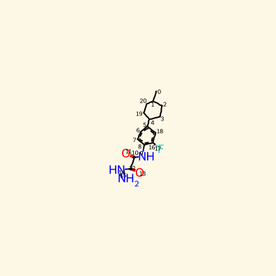 CC1CCC(c2ccc(NC(=O)C(=O)NN)c(F)c2)CC1